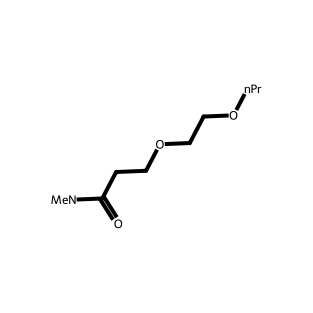 CCCOCCOCCC(=O)NC